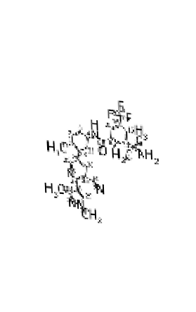 Cc1ccc(NC(=O)c2cc(C(C)(C)N)cc(C(F)(F)F)c2)cc1-c1cnc(-c2cn(C)nc2C)c(C#N)c1